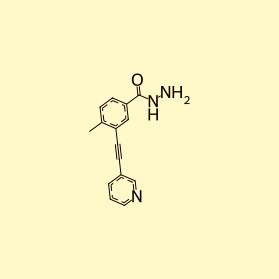 Cc1ccc(C(=O)NN)cc1C#Cc1cccnc1